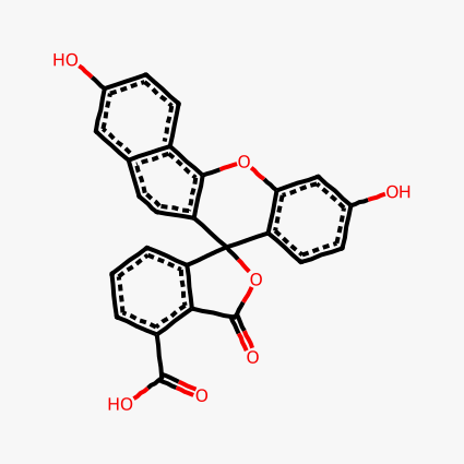 O=C(O)c1cccc2c1C(=O)OC21c2ccc(O)cc2Oc2c1ccc1cc(O)ccc21